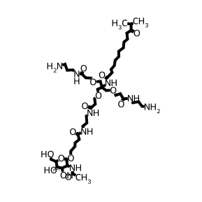 CC(=O)NC1C(O)[C@H](O)C(CO)O[C@H]1OCCCCC(=O)NCCCNC(=O)CCOCC(COCCC(=O)NCCCN)(COCCC(=O)NCCCN)NC(=O)CCCCCCCCCCC(=O)C(C)C